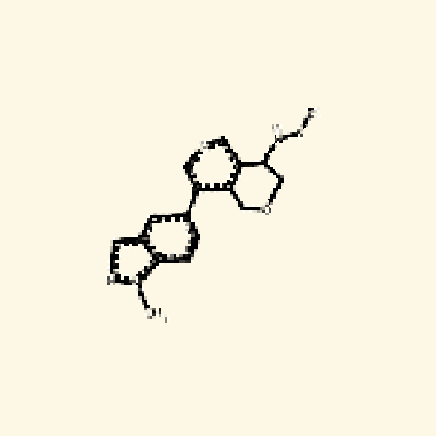 CCSNC1COCc2c(-c3ccc4c(cnn4C)c3)cncc21